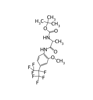 COc1cc(C(F)(C(F)(F)F)C(F)(F)F)ccc1NC(=O)C(C)NC(=O)OC(C)(C)C